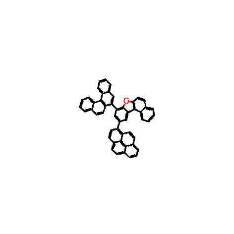 c1ccc2c(c1)ccc1oc3c(-c4cc5ccccc5c5c4ccc4ccccc45)cc(-c4ccc5ccc6cccc7ccc4c5c67)cc3c12